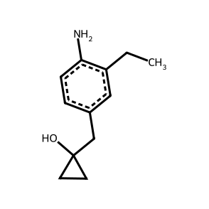 CCc1cc(CC2(O)CC2)ccc1N